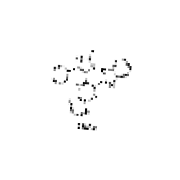 COc1cncc(NC(C(=O)c2nc(C)oc2-c2ccccc2)c2nc3ccccc3s2)n1